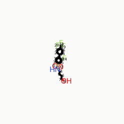 O=S(=O)(NCCCCO)c1ccc(C2C=CC(C(F)(F)F)=CC2)c(F)c1